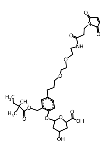 CCC(C)(C)C(=O)OCc1cc(CCCOCCOCCNC(=O)CCN2C(=O)C=CC2=O)ccc1OC1CC(O)CC(C(=O)O)O1